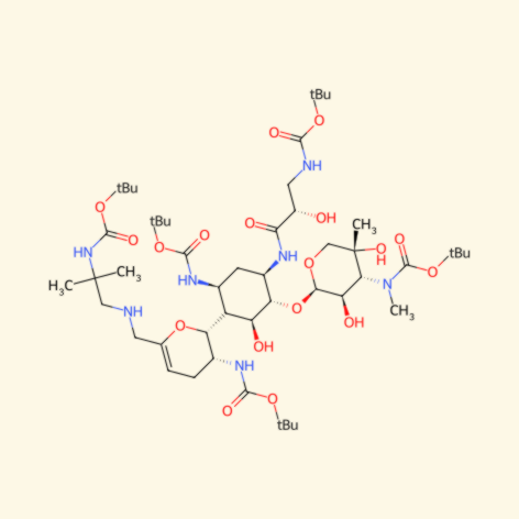 CN(C(=O)OC(C)(C)C)[C@@H]1[C@@H](O)[C@@H](O[C@H]2[C@H](NC(=O)[C@@H](O)CNC(=O)OC(C)(C)C)C[C@H](NC(=O)OC(C)(C)C)C([C@H]3OC(CNCC(C)(C)NC(=O)OC(C)(C)C)=CC[C@H]3NC(=O)OC(C)(C)C)[C@@H]2O)OC[C@]1(C)O